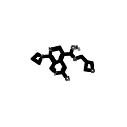 CC(OCC1COC1)c1cnc(N2CCC2)c2cnc(Cl)cc12